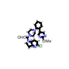 COc1ncc(-c2ccccc2N2CCN(C(C=O)n3ccc4nc(Cl)ccc43)CC2)cn1